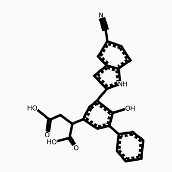 N#Cc1ccc2[nH]c(-c3cc(C(CC(=O)O)C(=O)O)cc(-c4ccccc4)c3O)cc2c1